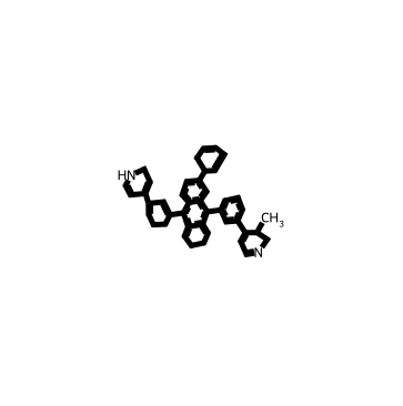 CC1CN=CC=C1c1cccc(-c2c3c(c(C4=CC(C5=CCNC=C5)=CCC4)c4ccc(C5C=CC=CC5)cc24)=CCCC=3)c1